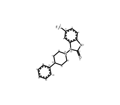 O=C1[N]c2ccc(C(F)(F)F)cc2N1N1CCC(c2ccccc2)CC1